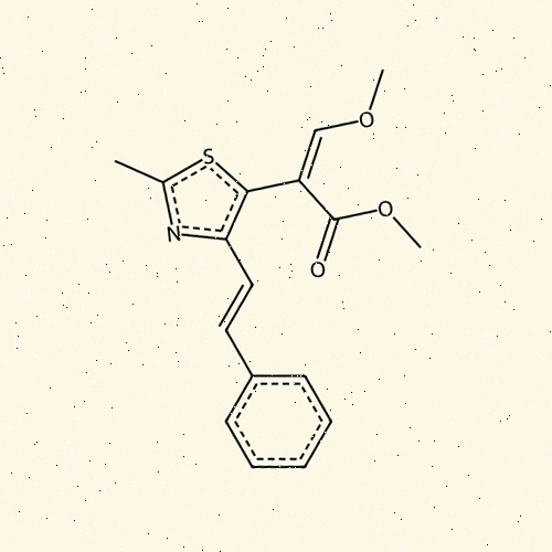 COC=C(C(=O)OC)c1sc(C)nc1C=Cc1ccccc1